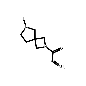 C=CC(=O)N1CC2(CCN(I)C2)C1